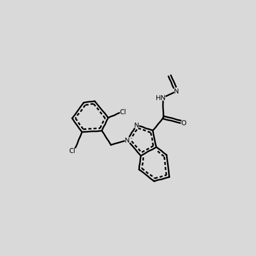 C=NNC(=O)c1nn(Cc2c(Cl)cccc2Cl)c2ccccc12